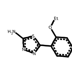 CCOc1ccccc1-c1nnc(N)s1